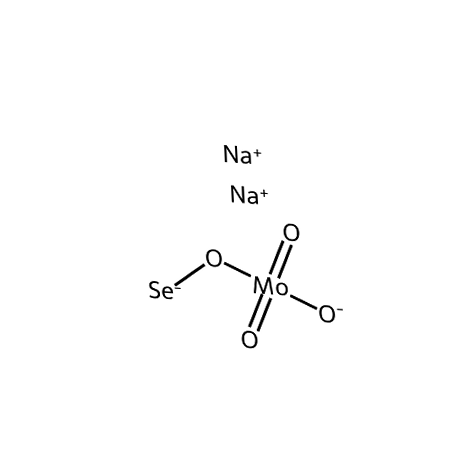 [Na+].[Na+].[O]=[Mo](=[O])([O-])[O][Se-]